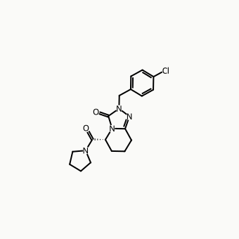 O=C([C@H]1CCCc2nn(Cc3ccc(Cl)cc3)c(=O)n21)N1CCCC1